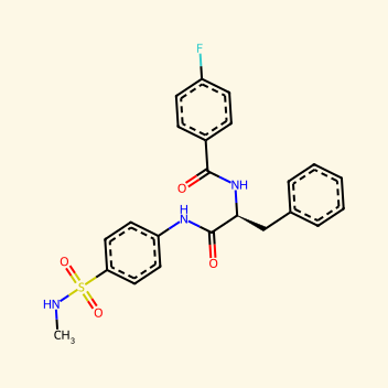 CNS(=O)(=O)c1ccc(NC(=O)[C@H](Cc2ccccc2)NC(=O)c2ccc(F)cc2)cc1